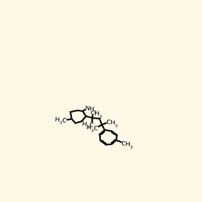 CC1=C/C=C\C=C(C(C)(C)CC(C)(C)C2CCC(C)CCC2N)/C=C\1